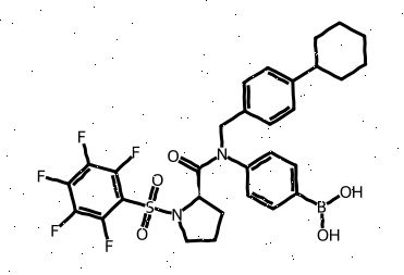 O=C([C@H]1CCCN1S(=O)(=O)c1c(F)c(F)c(F)c(F)c1F)N(Cc1ccc(C2CCCCC2)cc1)c1ccc(B(O)O)cc1